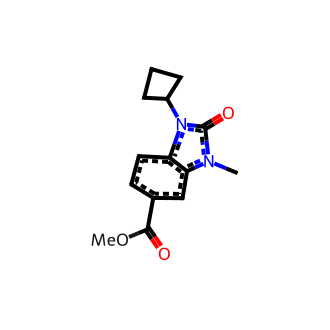 COC(=O)c1ccc2c(c1)n(C)c(=O)n2C1CCC1